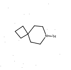 [2H]N1CCC2(CCC2)CC1